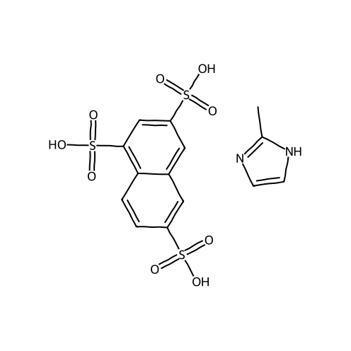 Cc1ncc[nH]1.O=S(=O)(O)c1ccc2c(S(=O)(=O)O)cc(S(=O)(=O)O)cc2c1